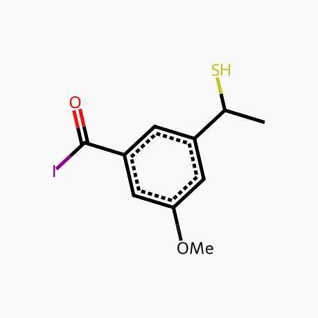 COc1cc(C(=O)I)cc(C(C)S)c1